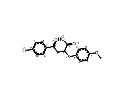 COc1ccc(SC(CC(=O)c2ccc(Cl)cc2)C(=O)O)cc1